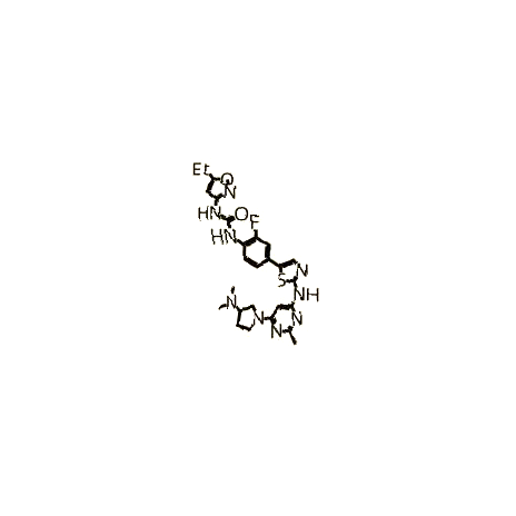 CCc1cc(NC(=O)Nc2ccc(-c3cnc(Nc4cc(N5CCC(N(C)C)C5)nc(C)n4)s3)cc2F)no1